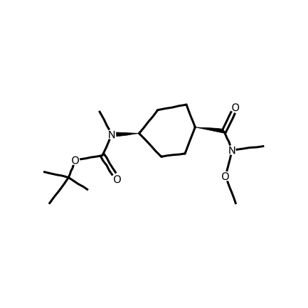 CON(C)C(=O)[C@H]1CC[C@@H](N(C)C(=O)OC(C)(C)C)CC1